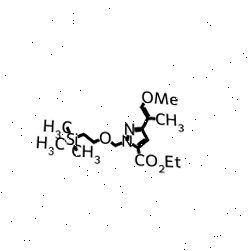 CCOC(=O)c1cc(C(C)=COC)nn1COCC[Si](C)(C)C